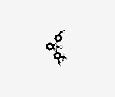 N#Cc1ccc(-n2c(=O)n(-c3ccc(C=O)cc3)c3ccccc32)cc1C(F)(F)F